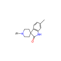 Cc1ccc2c(c1)NC(=O)C21CCN(C(C)C)CC1